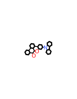 O=C1C(=O)c2c(-c3ccc(-n4c5ccccc5c5ccccc54)cc3)cccc2-c2ccccc21